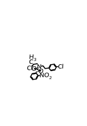 CC(Cl)CN(CCc1ccc(Cl)cc1)S(=O)(=O)c1ccccc1[N+](=O)[O-]